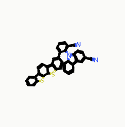 N#Cc1ccc2c(c1)C1C=CC=CC1N2c1c(C#N)cccc1-c1ccc2c(c1)C1C=Cc3c(sc4ccccc34)C1S2